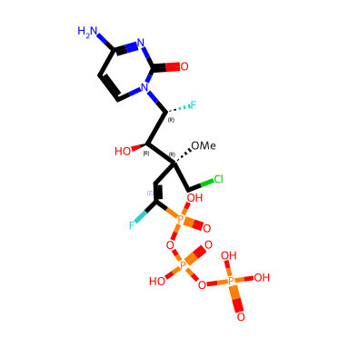 CO[C@@](/C=C(/F)P(=O)(O)OP(=O)(O)OP(=O)(O)O)(CCl)[C@@H](O)[C@@H](F)n1ccc(N)nc1=O